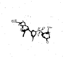 CNc1ncc2cc(-c3cc(F)cc(NS(=O)(=O)c4cc(Cl)cnc4OC)c3)c(C)nc2n1